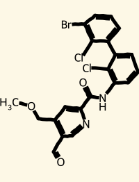 COCc1cc(C(=O)Nc2cccc(-c3cccc(Br)c3Cl)c2Cl)ncc1C=O